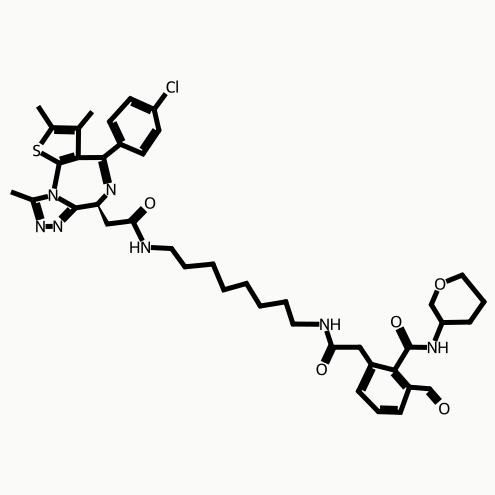 Cc1sc2c(c1C)C(c1ccc(Cl)cc1)=N[C@@H](CC(=O)NCCCCCCCCNC(=O)Cc1cccc(C=O)c1C(=O)NC1CCCOC1)c1nnc(C)n1-2